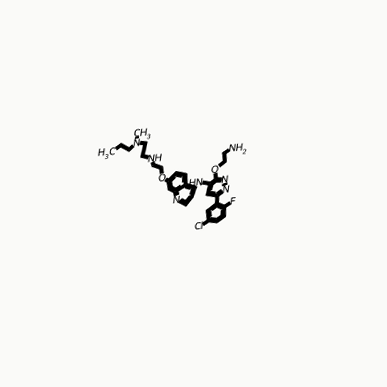 CCCN(C)CCNCCOc1ccc2c(Nc3cc(-c4cc(Cl)ccc4F)nnc3OCCN)ccnc2c1